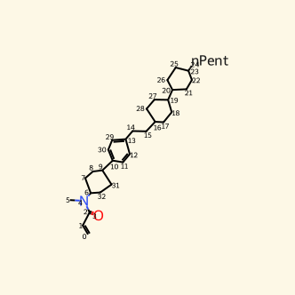 C=CC(=O)N(C)C1CCC(c2ccc(CCC3CCC(C4CCC(CCCCC)CC4)CC3)cc2)CC1